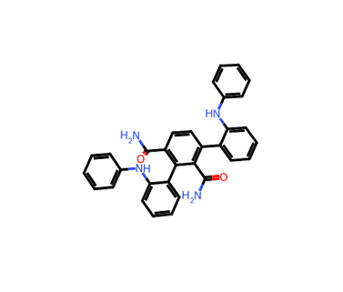 NC(=O)c1ccc(-c2ccccc2Nc2ccccc2)c(C(N)=O)c1-c1ccccc1Nc1ccccc1